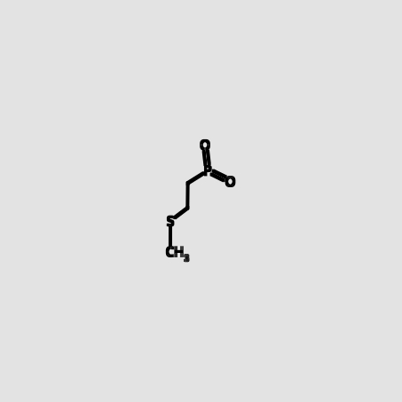 CSCCP(=O)=O